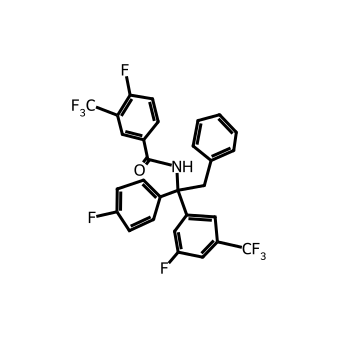 O=C(NC(Cc1ccccc1)(c1ccc(F)cc1)c1cc(F)cc(C(F)(F)F)c1)c1ccc(F)c(C(F)(F)F)c1